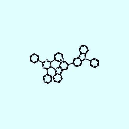 c1ccc(-c2nc(-c3cccnc3)c(-n3c4ccccc4c4cc(-c5ccc6c(c5)c5ccccc5n6-c5ccccc5)ccc43)c(-c3cccnc3)n2)cc1